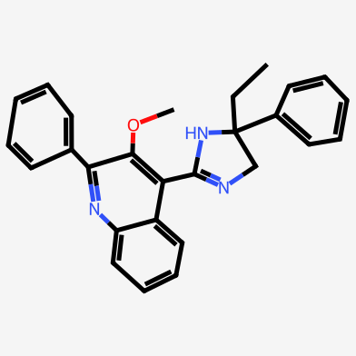 CCC1(c2ccccc2)CN=C(c2c(OC)c(-c3ccccc3)nc3ccccc23)N1